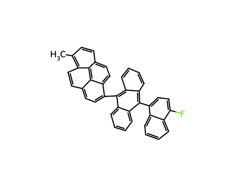 Cc1ccc2ccc3c(-c4c5ccccc5c(-c5ccc(F)c6ccccc56)c5ccccc45)ccc4ccc1c2c43